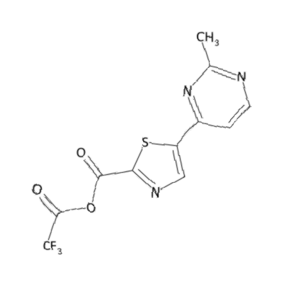 Cc1nccc(-c2cnc(C(=O)OC(=O)C(F)(F)F)s2)n1